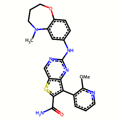 COc1ncccc1-c1c(C(N)=O)sc2cnc(Nc3ccc4c(c3)N(C)CCCO4)nc12